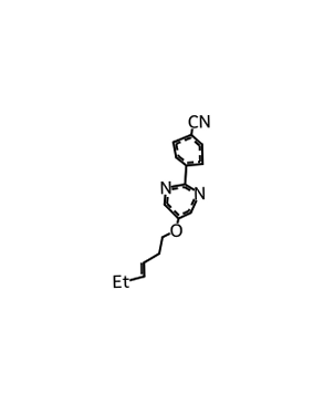 CCC=CCCOc1cnc(-c2ccc(C#N)cc2)nc1